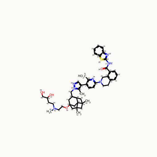 Cc1c(-c2ccc(N3CCc4cccc(C(=O)Nc5nc6ccccc6s5)c4C3)nc2C(=O)O)cnn1CC12CC3(OCCN(C)CCC(O)CO)CC4(C)CC(C)(C1)C4(C2)C3